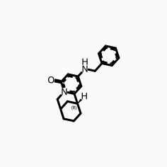 O=c1cc(NCc2ccccc2)cc2n1CC1CCC[C@@H]2C1